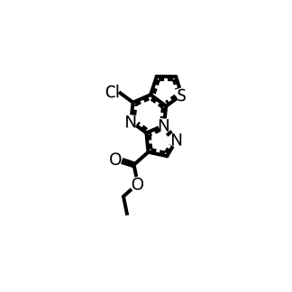 CCOC(=O)c1cnn2c1nc(Cl)c1ccsc12